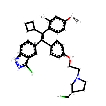 COc1ccc(/C(=C(\c2ccc(OCCN3CC[C@@H](CF)C3)cc2)c2ccc3[nH]nc(F)c3c2)C2CCC2)c(C)c1